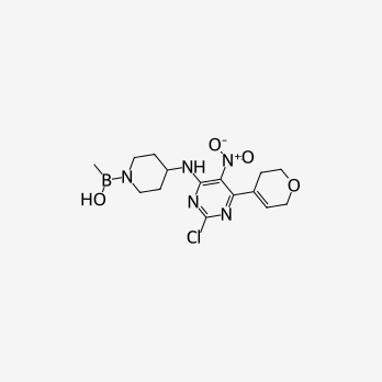 CB(O)N1CCC(Nc2nc(Cl)nc(C3=CCOCC3)c2[N+](=O)[O-])CC1